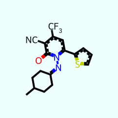 CC1CCC(=Nn2c(-c3cccs3)cc(C(F)(F)F)c(C#N)c2=O)CC1